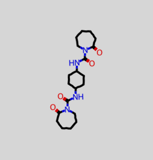 O=C1CCCCCN1C(=O)NC1CCC(NC(=O)N2CCCCCC2=O)CC1